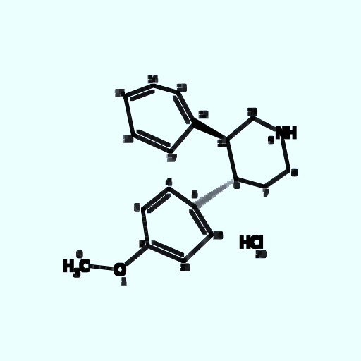 COc1ccc([C@H]2CCNC[C@@H]2c2ccccc2)cc1.Cl